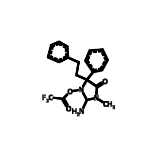 CN1C(=O)C(CCc2ccccc2)(c2ccccc2)N(OC(=O)C(F)(F)F)C1N